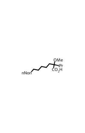 CCCCCCCCCCCCCCC(OC)(C(=O)O)C(C)C